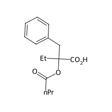 CCCC(=O)OC(CC)(Cc1ccccc1)C(=O)O